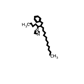 CCCCCCCCCCCCCC(Cc1ccccc1)C(CCCC)n1ccnc1